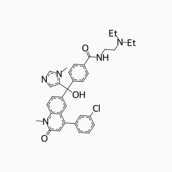 CCN(CC)CCNC(=O)c1ccc(C(O)(c2ccc3c(c2)c(-c2cccc(Cl)c2)cc(=O)n3C)c2cncn2C)cc1